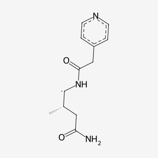 C[C@H]([CH]NC(=O)Cc1ccncc1)CC(N)=O